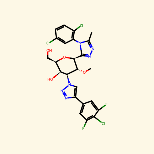 CO[C@@H]1[C@@H](n2cc(-c3cc(F)c(Cl)c(F)c3)nn2)[C@@H](O)[C@@H](CO)O[C@H]1c1nnc(C)n1-c1cc(Cl)ccc1Cl